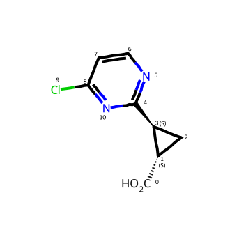 O=C(O)[C@H]1C[C@@H]1c1nccc(Cl)n1